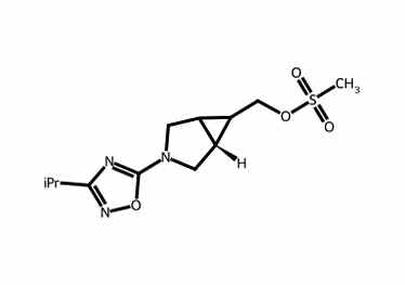 CC(C)c1noc(N2CC3C(COS(C)(=O)=O)[C@@H]3C2)n1